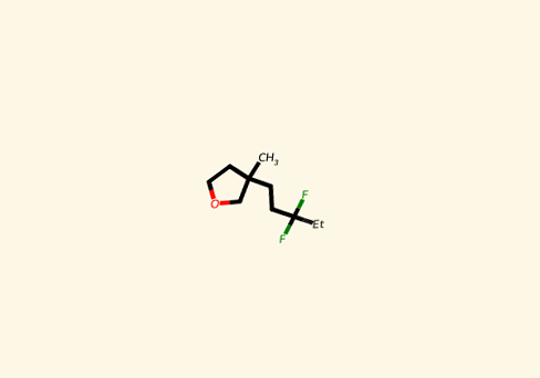 CCC(F)(F)CCC1(C)CCOC1